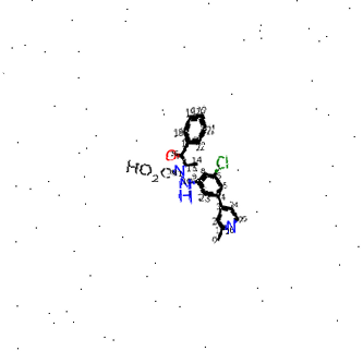 Cc1cc(-c2cc(Cl)cc(NN(C(=O)O)C(C)C(=O)c3ccccc3)c2)ccn1